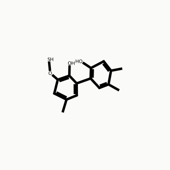 Cc1cc(OS)c(O)c(-c2cc(C)c(C)cc2O)c1